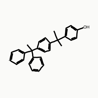 CC(C)(c1ccc(O)cc1)c1ccc(C(C)(c2cc[c]cc2)c2cc[c]cc2)cc1